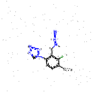 COc1ccc(-n2cnnn2)c(CN=[N+]=[N-])c1F